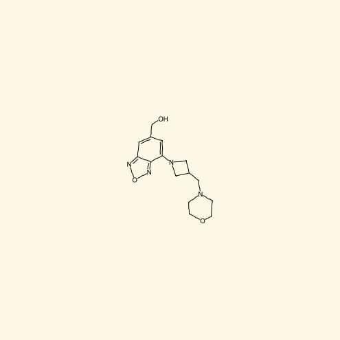 OCc1cc(N2CC(CN3CCOCC3)C2)c2nonc2c1